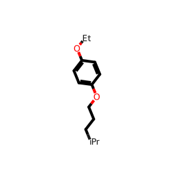 CCOc1ccc(OCCCC(C)C)cc1